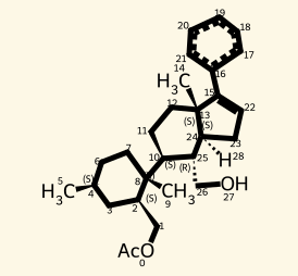 CC(=O)OC[C@H]1C[C@@H](C)CC[C@]1(C)[C@H]1CC[C@]2(C)C(c3ccccc3)=CC[C@H]2[C@@H]1CO